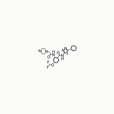 CN1CCN(CC(=O)Nc2cc(OC(F)F)ccc2C(=O)Nc2nnc(-c3ccccc3)s2)CC1